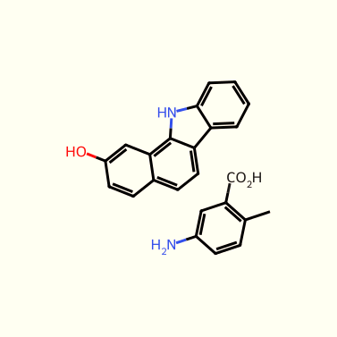 Cc1ccc(N)cc1C(=O)O.Oc1ccc2ccc3c4ccccc4[nH]c3c2c1